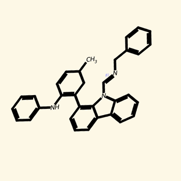 CC1C=CC(Nc2ccccc2)=C(c2cccc3c4ccccc4n(/C=N/Cc4ccccc4)c23)C1